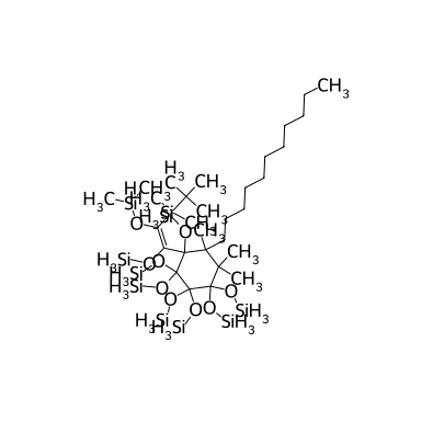 CCCCCCCCCCCC1(C)C(C)(C)C(O[SiH3])(O[SiH3])C(O[SiH3])(O[SiH3])C(O[SiH3])(O[SiH3])C1(O[SiH3])C(O[SiH3])=C(O[SiH](C)C)[Si](C)(C)C(C)(C)C